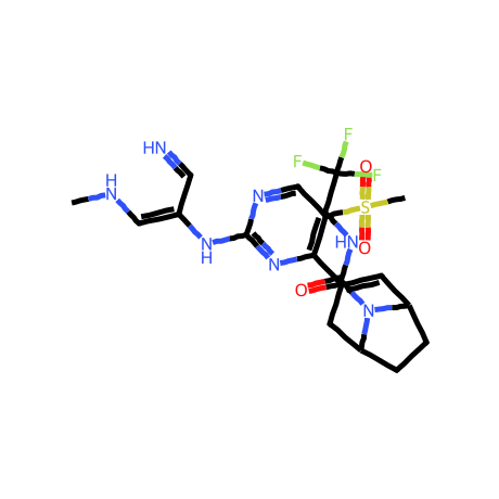 CN/C=C(\C=N)Nc1ncc(S(C)(=O)=O)c(C2=CC3CCC(C2)N3C(=O)NCC(F)(F)F)n1